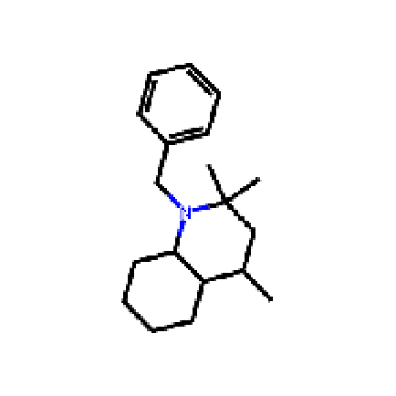 CC1CC(C)(C)N(Cc2ccccc2)C2CCCCC12